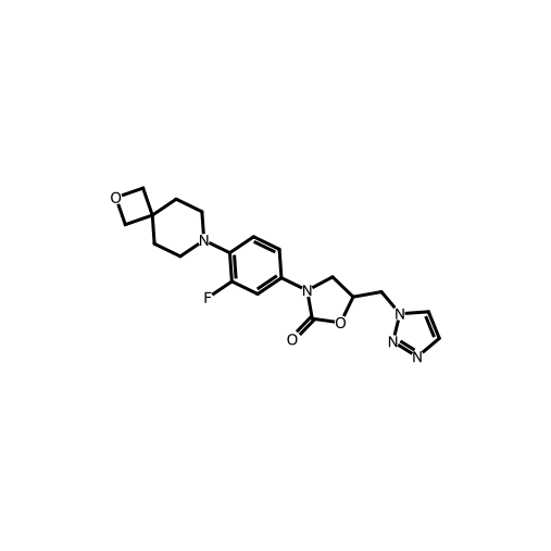 O=C1OC(Cn2ccnn2)CN1c1ccc(N2CCC3(CC2)COC3)c(F)c1